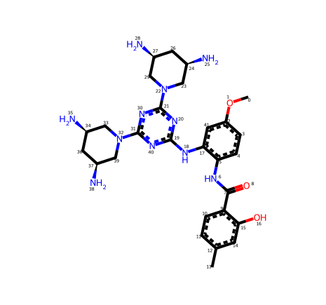 COc1ccc(NC(=O)c2ccc(C)cc2O)c(Nc2nc(N3C[C@H](N)C[C@H](N)C3)nc(N3C[C@H](N)C[C@H](N)C3)n2)c1